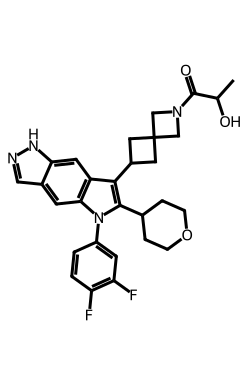 CC(O)C(=O)N1CC2(CC(c3c(C4CCOCC4)n(-c4ccc(F)c(F)c4)c4cc5cn[nH]c5cc34)C2)C1